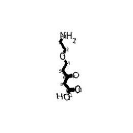 NCCOCCC(=O)CC(=O)O